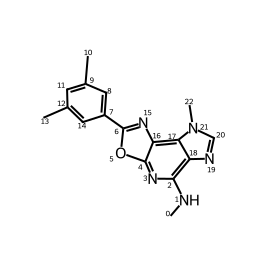 CNc1nc2oc(-c3cc(C)cc(C)c3)nc2c2c1ncn2C